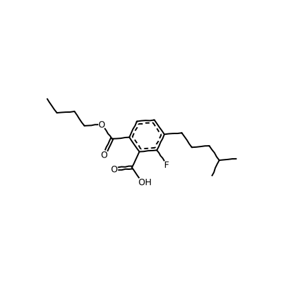 CCCCOC(=O)c1ccc(CCCC(C)C)c(F)c1C(=O)O